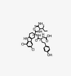 CCC(C)C(NC(=O)[C@@]1(NC(=O)[C@H](CCc2ccc(O)cc2)NC(=O)O)CCc2[nH]c3c(Cl)cc(Cl)cc3c2C1)C(N)=S